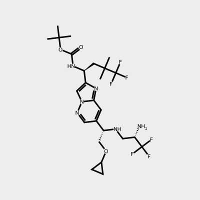 CC(C)(C)OC(=O)N[C@@H](CC(C)(C)C(F)(F)F)c1cn2ncc([C@@H](COC3CC3)NC[C@H](N)C(F)(F)F)cc2n1